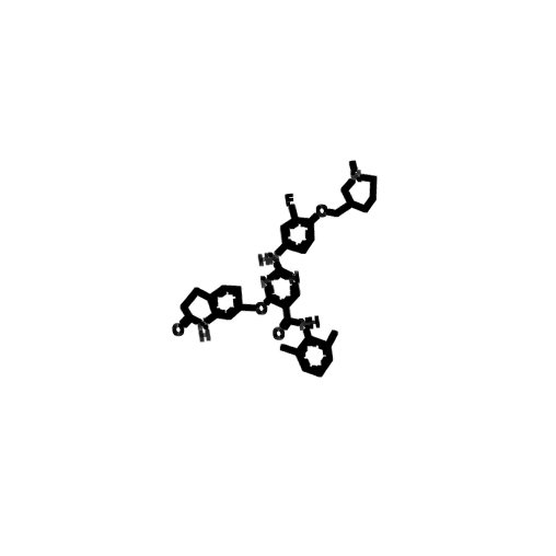 Cc1cccc(C)c1NC(=O)c1cnc(Nc2ccc(OCC3CCCN(C)C3)c(F)c2)nc1Oc1ccc2c(c1)NC(=O)CC2